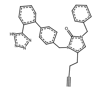 C#CCCc1cn(Cc2ccccc2)c(=O)n1Cc1ccc(-c2ccccc2-c2nnn[nH]2)cc1